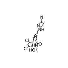 C[C@@H](O)CNC(=O)c1cn(CCCNc2ccc(C#N)cn2)cc1-c1ccc(Cl)cc1Cl